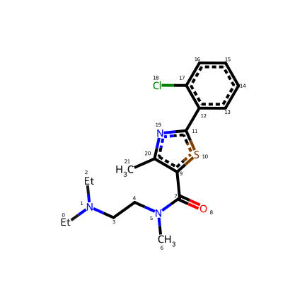 CCN(CC)CCN(C)C(=O)c1sc(-c2ccccc2Cl)nc1C